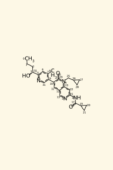 CCC[C@H](O)c1cc(C)c(-c2cc3cnc(NC(=O)C4CC4)cc3n(CC3CC3)c2=O)cn1